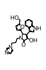 O=C1C(O)=C(c2c[nH]c3ccccc23)C(c2ccc(CO)o2)N1CCCn1ccnc1